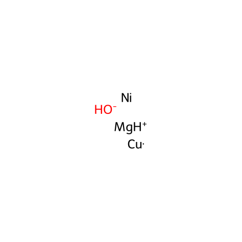 [Cu].[MgH+].[Ni].[OH-]